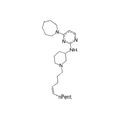 CCCCC/C=C\CCCN1CCCC(Nc2nccc(N3CCCCCC3)n2)C1